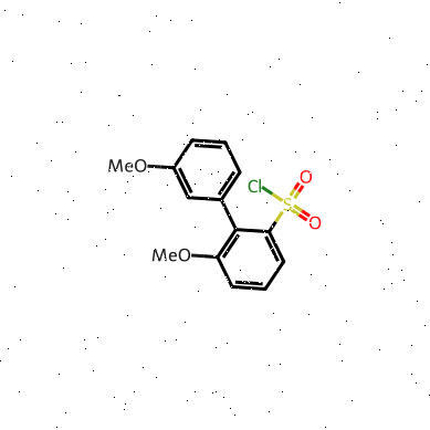 COc1cccc(-c2c(OC)cccc2S(=O)(=O)Cl)c1